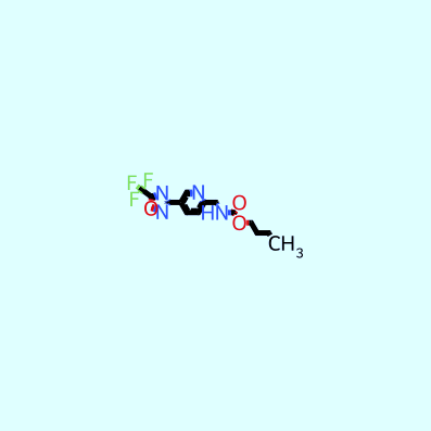 CCCCOC(=O)NCc1ccc(-c2noc(C(F)(F)F)n2)cn1